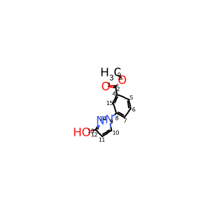 COC(=O)c1cccc(-n2ccc(O)n2)c1